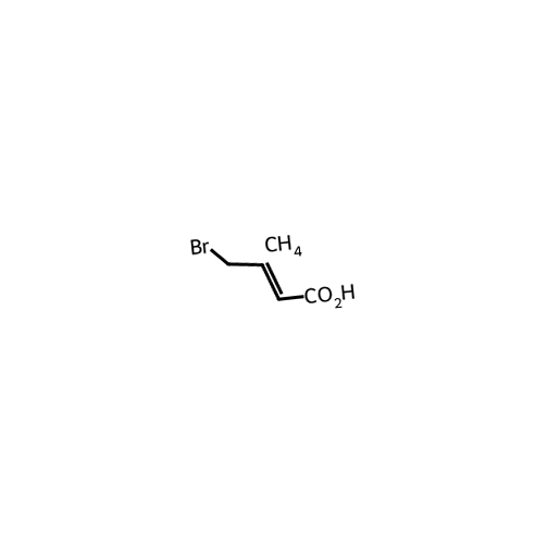 C.O=C(O)C=CCBr